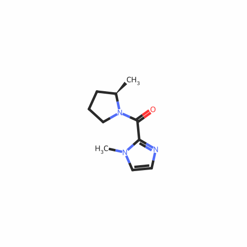 C[C@@H]1CCCN1C(=O)c1nccn1C